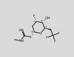 CNC(=N)S[C@@H]1C[C@H](F)[C@H](O)[C@@H](CC(F)(F)F)O1